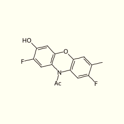 CC(=O)N1c2cc(F)c(C)cc2Oc2cc(O)c(F)cc21